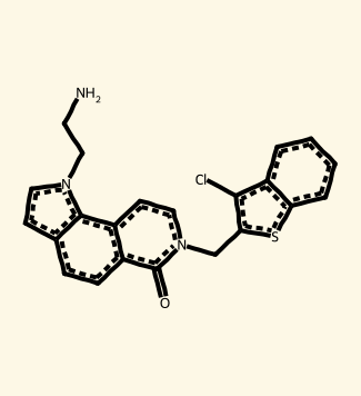 NCCn1ccc2ccc3c(=O)n(Cc4sc5ccccc5c4Cl)ccc3c21